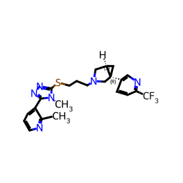 Cc1ncccc1-c1nnc(SCCCN2C[C@H]3C[C@@]3(c3ccc(C(F)(F)F)nc3)C2)n1C